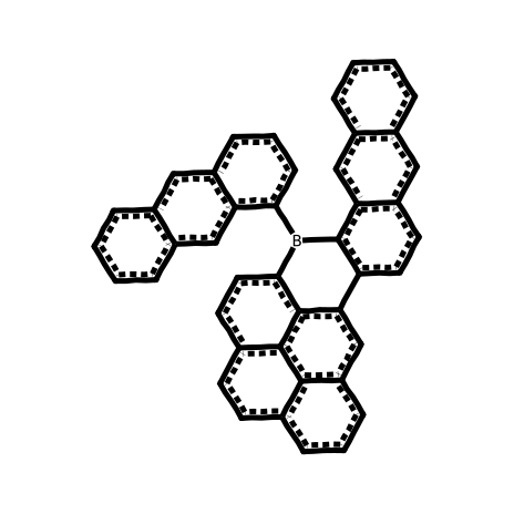 c1ccc2cc3c(B4c5c(ccc6cc7ccccc7cc56)-c5cc6cccc7ccc8ccc4c5c8c76)cccc3cc2c1